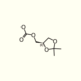 CC1(C)OC[C@H](COC([O])=O)O1